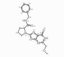 COCc1nc2sc(N3CCCC3C(=O)NCc3ccccc3)nc2c(=O)[nH]1